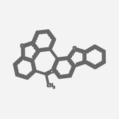 C=C(C)c1cccc2oc3cccc(-c4cccc5c4oc4ccccc45)c3c12